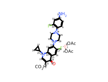 CC(=O)O[B]OC(C)=O.Nc1ccc(N2CCN(c3cc4c(cc3F)c(=O)c(C(=O)O)cn4C3CC3)CC2)c(F)c1